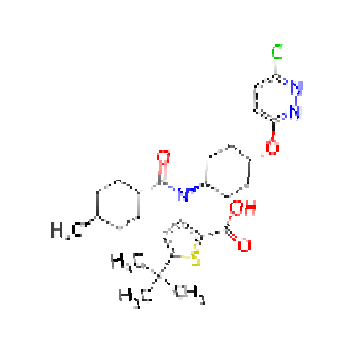 CC(C)(C)c1cc(N(C(=O)[C@H]2CC[C@H](C)CC2)[C@H]2CC[C@H](Oc3ccc(Cl)nn3)CC2)c(C(=O)O)s1